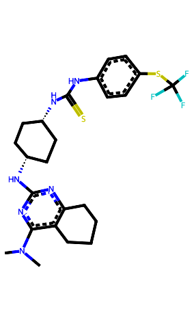 CN(C)c1nc(N[C@H]2CC[C@@H](NC(=S)Nc3ccc(SC(F)(F)F)cc3)CC2)nc2c1CCCC2